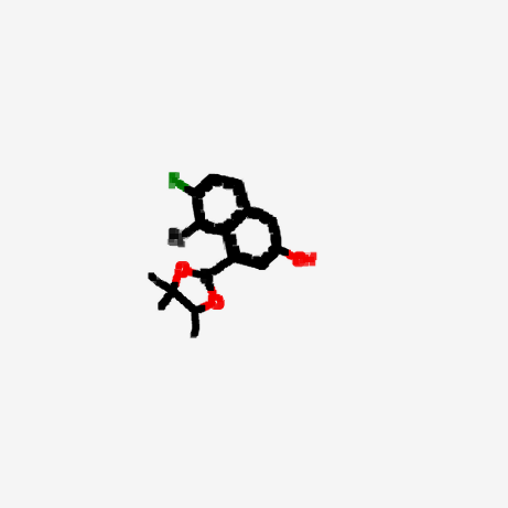 CCc1c(F)ccc2cc(O)cc(B3OC(C)C(C)(C)O3)c12